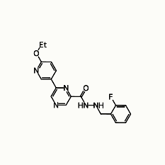 CCOc1ccc(-c2cncc(C(=O)NNCc3ccccc3F)n2)cn1